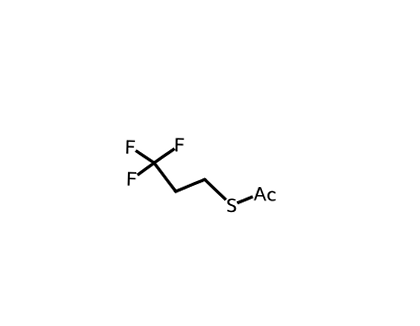 CC(=O)SCCC(F)(F)F